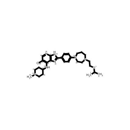 CC(C)OCCN1CCCN(c2ccc(-c3nc4c(NC5CCN(C)CC5)c(Cl)cnc4[nH]3)cc2)CC1